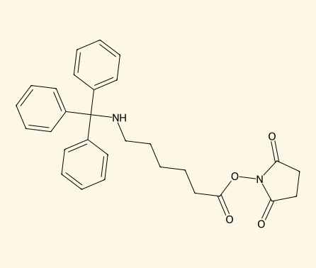 O=C(CCCCCNC(c1ccccc1)(c1ccccc1)c1ccccc1)ON1C(=O)CCC1=O